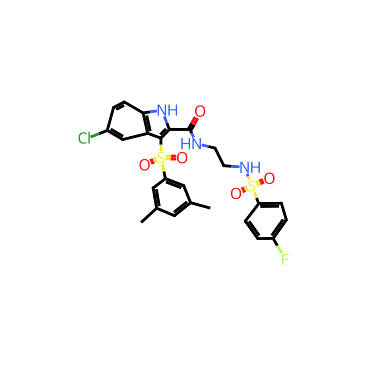 Cc1cc(C)cc(S(=O)(=O)c2c(C(=O)NCCNS(=O)(=O)c3ccc(F)cc3)[nH]c3ccc(Cl)cc23)c1